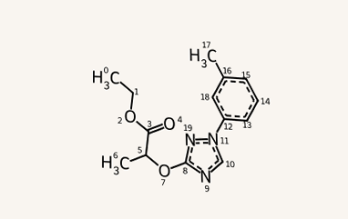 CCOC(=O)C(C)Oc1ncn(-c2cccc(C)c2)n1